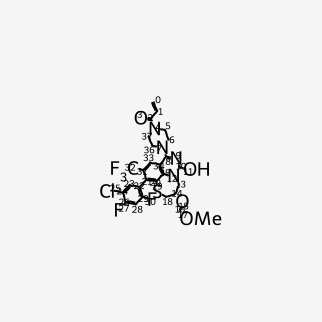 C=CC(=O)N1CCN(C2=NC(O)N3CC(OCOC)CSc4c(-c5cc(Cl)c(F)cc5F)c(C(F)(F)F)cc2c43)CC1